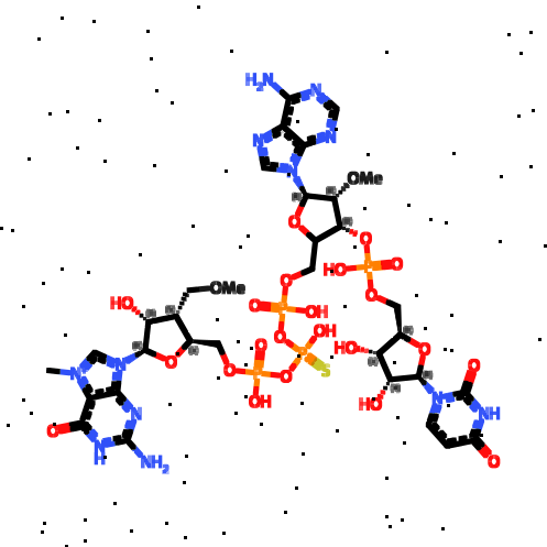 COC[C@H]1[C@@H](O)[C@H](n2c[n+](C)c3c(=O)[nH]c(N)nc32)O[C@@H]1COP(=O)(O)OP(O)(=S)OP(=O)(O)OCC1O[C@@H](n2cnc3c(N)ncnc32)[C@H](OC)[C@@H]1OP(=O)(O)OC[C@H]1O[C@@H](n2ccc(=O)[nH]c2=O)[C@H](O)[C@@H]1O